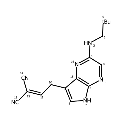 CC(C)(C)CNc1cnc2[nH]cc(CC=C(C#N)C#N)c2n1